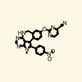 Cn1c(-c2ccc([N+](=O)[O-])cc2)c2c3c(ncnc31)NCc1cc(Oc3nccc(C#N)n3)ccc1-2